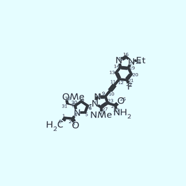 C=CC(=O)N1C[C@@H](n2nc(C#Cc3cc4ncn(CC)c4cc3F)c(C(N)=O)c2NC)C[C@@H]1COC